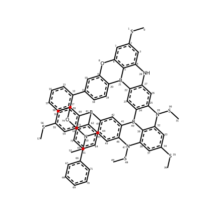 CSc1cc2c3c(c1)Oc1cc(-c4ccccc4)ccc1B3c1cc3c(cc1N2)N(SC)c1cc(SC)cc2c1B3c1cc3c(cc1N2SC)N(SC)c1cc(SC)cc2c1B3c1ccc(-c3ccccc3)cc1O2